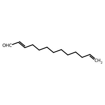 C=CCCCCCCCC/C=C/C=O